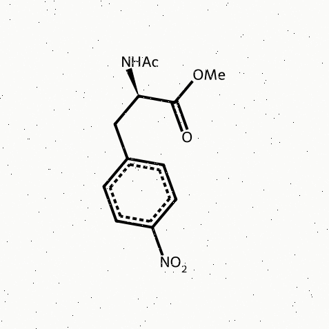 COC(=O)[C@@H](Cc1ccc([N+](=O)[O-])cc1)NC(C)=O